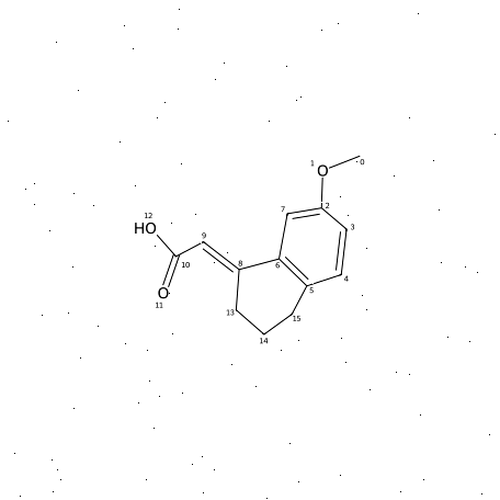 COc1ccc2c(c1)C(=CC(=O)O)CCC2